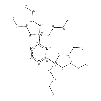 CCC[CH2][Sn]([CH2]CCC)([CH2]CCC)[c]1ccn[c]([Sn]([CH2]CCC)([CH2]CCC)[CH2]CCC)n1